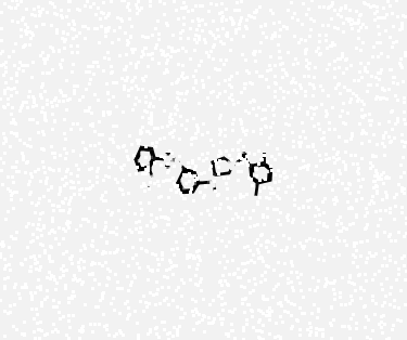 COc1ccccc1S(=O)(=O)Nc1cccc(N(C)C2CCN(C(=O)c3cc(C)ccc3C)C2)c1